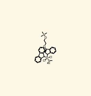 C[SiH](C)[Zr]([Cl])([Cl])([CH]1C=C(OCCO[Si](C)(C)C)c2ccccc21)[CH]1c2ccccc2-c2ccccc21